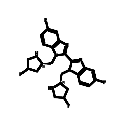 Fc1ccc2c(c1)nc(-c1nc3cc(F)ccc3n1C[C@@H]1CC(F)CN1)n2C[C@@H]1CC(F)CN1